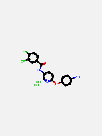 Cl.Cl.Nc1ccc(Oc2ccc(NC(=O)c3ccc(Cl)c(Cl)c3)cn2)cc1